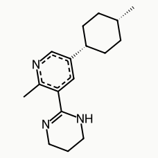 Cc1ncc([C@H]2CC[C@@H](C)CC2)cc1C1=NCCCN1